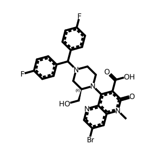 Cn1c(=O)c(C(=O)O)c(N2CCN(C(c3ccc(F)cc3)c3ccc(F)cc3)C[C@@H]2CO)c2ncc(Br)cc21